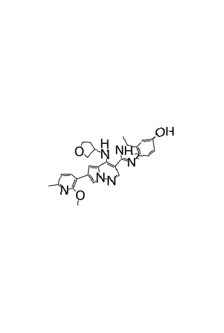 CCc1cc(O)ccc1/N=C(\N)c1cnn2cc(-c3ccc(C)nc3OC)cc2c1NC1CCOC1